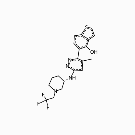 Cc1cc(N[C@H]2CCCN(CC(F)(F)F)C2)nnc1-c1ccc2sccc2c1O